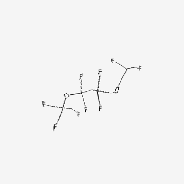 FC(F)OC(F)(F)C(F)(F)OC(F)(F)F